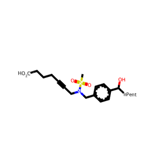 CCCCCC(O)c1ccc(CN(CC#CCCCC(=O)O)S(C)(=O)=O)cc1